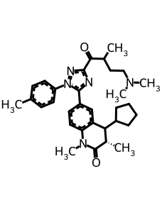 Cc1ccc(-n2nc(C(=O)C(C)CCN(C)C)nc2-c2ccc3c(c2)C(C2CCCC2)[C@H](C)C(=O)N3C)cc1